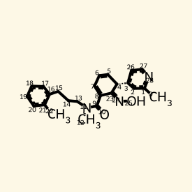 Cc1cc([C@H]2C=CC=C(C(=O)N(C)CCCc3ccccc3C)/C2=N/O)ccn1